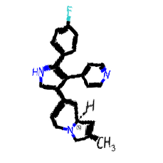 CC1=C[C@@H]2CC(c3c[nH]c(-c4ccc(F)cc4)c3-c3ccncc3)=CCN2C1